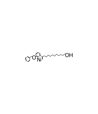 OCCCCCCCCCCCc1ccnc2c(OCc3ccccc3)cccc12